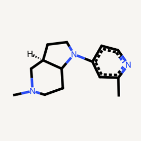 Cc1cc(N2CC[C@@H]3CN(C)CCC32)ccn1